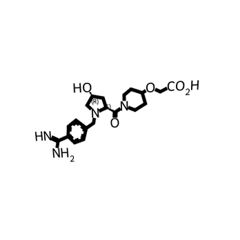 N=C(N)c1ccc(CN2C[C@H](O)C[C@H]2C(=O)N2CCC(OCC(=O)O)CC2)cc1